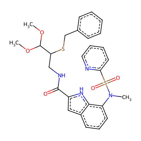 COC(OC)C(CNC(=O)c1cc2cccc(N(C)S(=O)(=O)c3ccccn3)c2[nH]1)SCc1ccccc1